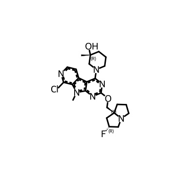 Cn1c2nc(OC[C@@]34CCCN3C[C@H](F)C4)nc(N3CCC[C@@](C)(O)C3)c2c2ccnc(Cl)c21